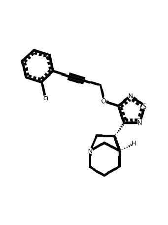 Clc1ccccc1C#CCOc1nsnc1[C@H]1CN2CCC[C@H]1C2